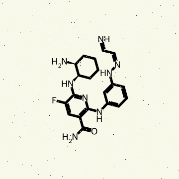 N=C/C=N\Nc1cccc(Nc2nc(N[C@@H]3CCCC[C@@H]3N)c(F)cc2C(N)=O)c1